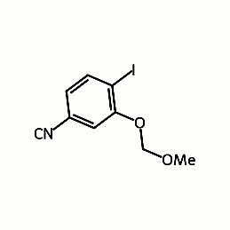 [C-]#[N+]c1ccc(I)c(OCOC)c1